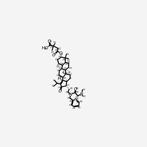 CC(C)C1=C2C(CC[C@]3(C)[C@@H]2CCC2[C@@]4(C)CC[C@H](OC(=O)CC(C)(C)C(=O)O)C(C)(C)C4CC[C@]23C)[C@H](CCN(Cc2ccccn2)C(=O)CN(C)C)C1=O